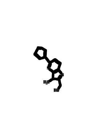 Cn1c(CO)nc2ccc(-c3ccccc3)nc21